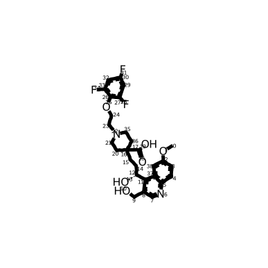 COc1ccc2ncc(CO)c([C@H](O)CCC3(C(=O)O)CCN(CCOc4c(F)cc(F)cc4F)CC3)c2c1